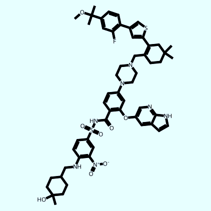 COC(C)(C)c1ccc(-c2csc(C3=C(CN4CCN(c5ccc(C(=O)NS(=O)(=O)c6ccc(NCC7CCC(C)(O)CC7)c([N+](=O)[O-])c6)c(Oc6cnc7[nH]ccc7c6)c5)CC4)CCC(C)(C)C3)c2)c(F)c1